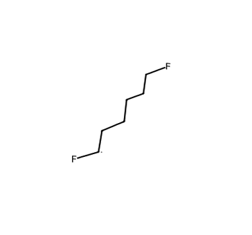 F[CH]CCCCCF